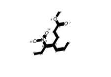 C/C=C\C(CCC(=O)OC)=C(/CC)[N+](=O)[O-]